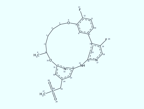 CC1CCCCOc2cc(ccc2F)-c2cc(ncc2F)Nc2cc(CS(C)(=O)=O)cc(n2)O1